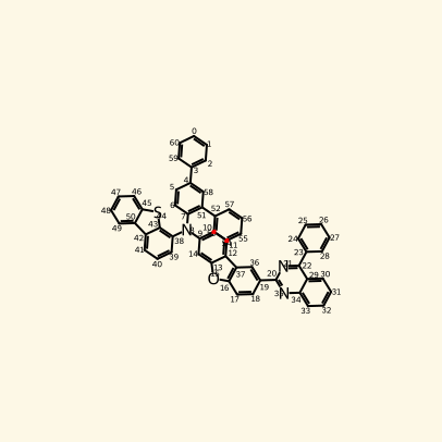 c1ccc(-c2ccc(N(c3ccc4c(c3)oc3ccc(-c5nc(-c6ccccc6)c6ccccc6n5)cc34)c3cccc4c3sc3ccccc34)c(-c3ccccc3)c2)cc1